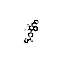 N#Cc1c(N2CCN(C(=O)c3ccco3)CC2)c2ccccc2n(Cc2ccsc2)c1=O